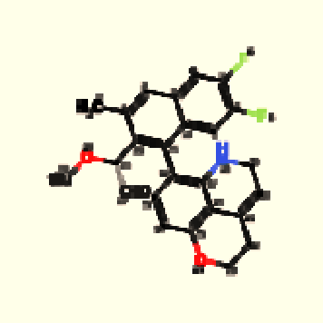 Cc1cc2cc(F)c(F)cc2c(-c2ccc3c4c2NCC=C4CCO3)c1[C@H](C=O)OC(C)(C)C